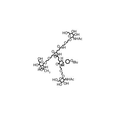 CC(=O)NC1C(OCCOCCNC(=O)CCC(NC(=O)CCC(NC(=O)[C@H]2CC[C@@H](OC(C)(C)C)CC2)C(=O)NCCOCCOC2OC(CO)C(O)C(O)C2NC(C)=O)C(=O)NCCOCCOC2OC(CO)C(O)C(O)C2NC(C)O)OC(CO)C(O)C1O